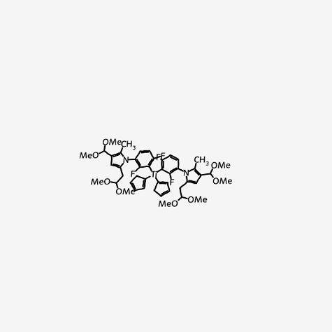 COC(Cc1cc(C(OC)OC)c(C)n1-c1ccc(F)[c]([Ti]([C]2=CC=CC2)([C]2=CC=CC2)[c]2c(F)ccc(-n3c(CC(OC)OC)cc(C(OC)OC)c3C)c2F)c1F)OC